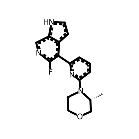 C[C@@H]1COCCN1c1cccc(-c2c(F)ncc3[nH]ccc23)n1